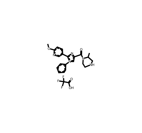 COc1ccc(-c2nc(C(=O)N3CCNCC3C)cn2-c2ccccc2)cn1.O=C(O)C(F)(F)F